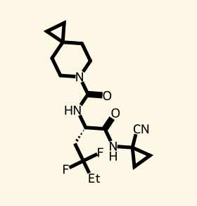 CCC(F)(F)C[C@H](NC(=O)N1CCC2(CC1)CC2)C(=O)NC1(C#N)CC1